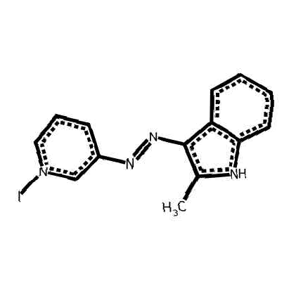 Cc1[nH]c2ccccc2c1N=Nc1ccc[n+](I)c1